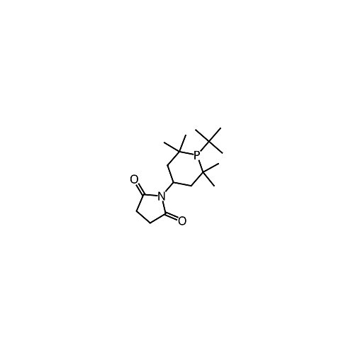 CC(C)(C)P1C(C)(C)CC(N2C(=O)CCC2=O)CC1(C)C